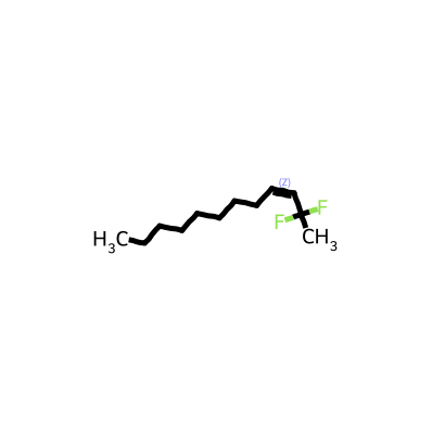 CCCCCCCC/C=C\C(C)(F)F